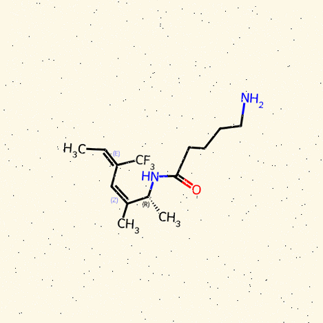 C/C=C(\C=C(\C)[C@@H](C)NC(=O)CCCCN)C(F)(F)F